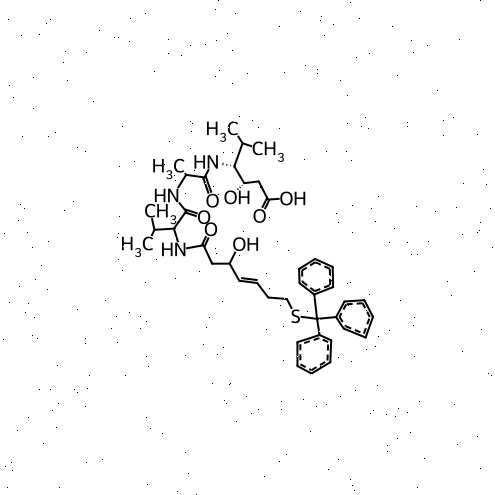 CC(NC(=O)C(NC(=O)CC(O)C=CCCSC(c1ccccc1)(c1ccccc1)c1ccccc1)C(C)C)C(=O)N[C@H](C(C)C)[C@@H](O)CC(=O)O